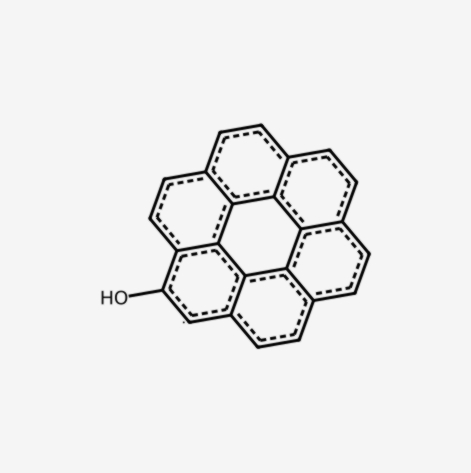 Oc1[c]c2ccc3ccc4ccc5ccc6ccc1c1c2c3c4c5c61